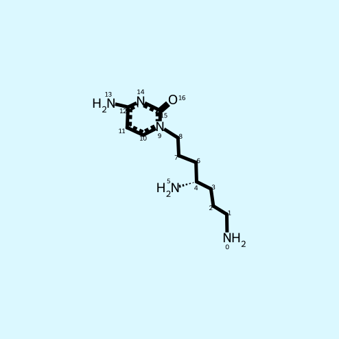 NCCC[C@H](N)CCCn1ccc(N)nc1=O